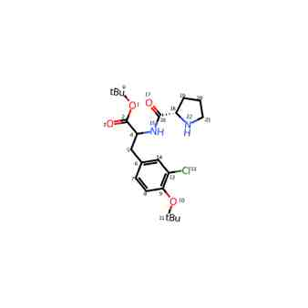 CC(C)(C)OC(=O)C(Cc1ccc(OC(C)(C)C)c(Cl)c1)NC(=O)[C@@H]1CCCN1